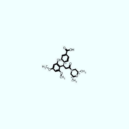 COc1cc(O)c(C(CC(=O)N2C[C@@H](C)O[C@@H](C)C2)[C@@H]2C=CC(C(=O)O)=CC2)c(OC)c1